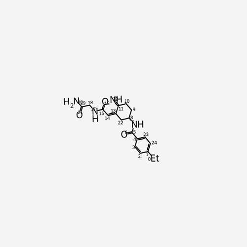 CCc1ccc(C(=O)NC2CCC(=N)/C(=C\C(=O)NCC(N)=O)C2)cc1